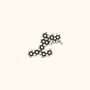 CC1(C)c2ccccc2-c2ccc(N(c3ccccc3)c3cccc4c(-c5ccc(N(c6ccc(-c7ccccc7)cc6)c6cccc(-c7ccccc7)c6)cc5)cccc34)cc21